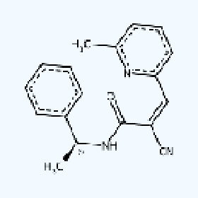 Cc1cccc(C=C(C#N)C(=O)N[C@@H](C)c2ccccc2)n1